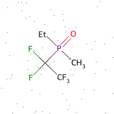 CCP(C)(=O)C(F)(F)C(F)(F)F